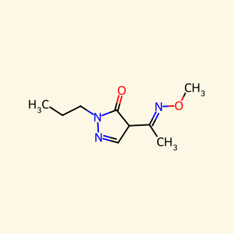 CCCN1N=CC(C(C)=NOC)C1=O